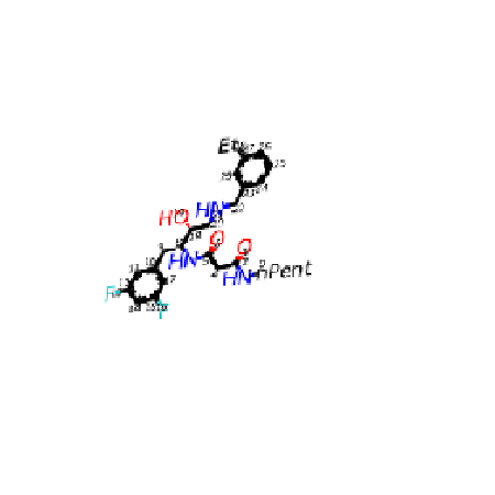 CCCCCNC(=O)CC(=O)N[C@@H](Cc1cc(F)cc(F)c1)[C@H](O)CNCc1cccc(CC)c1